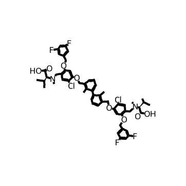 Cc1c(COc2cc(OCc3cc(F)cc(F)c3)c(CN(C)[C@H](C(=O)O)C(C)C)cc2Cl)cccc1-c1cccc(COc2cc(OCc3cc(F)cc(F)c3)c(CN(C)[C@H](C(=O)O)C(C)C)cc2Cl)c1C